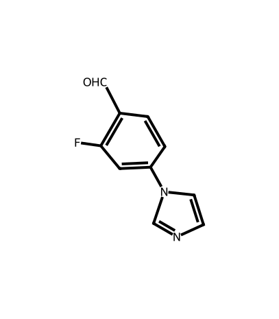 O=Cc1ccc(-n2ccnc2)cc1F